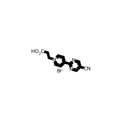 N#Cc1cnc(-c2cc[n+](CCC(=O)O)cc2)nc1.[Br-]